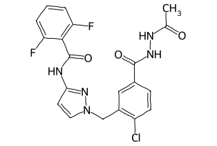 CC(=O)NNC(=O)c1ccc(Cl)c(Cn2ccc(NC(=O)c3c(F)cccc3F)n2)c1